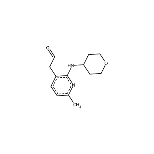 Cc1ccc(CC=O)c(NC2CCOCC2)n1